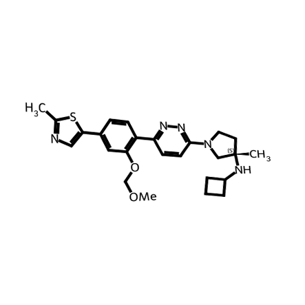 COCOc1cc(-c2cnc(C)s2)ccc1-c1ccc(N2CC[C@](C)(NC3CCC3)C2)nn1